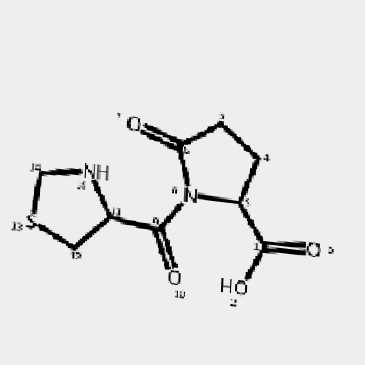 O=C(O)C1CCC(=O)N1C(=O)C1CSCN1